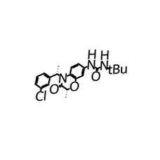 C[C@H]1Oc2cc(NC(=O)NC(C)(C)C)ccc2N([C@@H](C)c2cccc(Cl)c2)C1=O